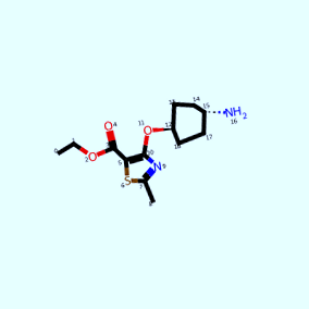 CCOC(=O)c1sc(C)nc1O[C@H]1CC[C@H](N)CC1